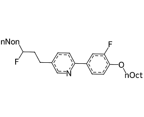 CCCCCCCCCC(F)CCc1ccc(-c2ccc(OCCCCCCCC)c(F)c2)nc1